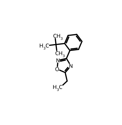 CCc1nc(-c2ccccc2C(C)(C)C)no1